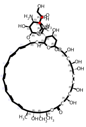 C[C@@H]1[C@H](O)[C@@H](C)/C=C/C=C/C=C/C=C/C=C/C=C/C=C/[C@H](O[C@@H]2O[C@H](C)[C@@H](O)[C@H](N)[C@@H]2O)C[C@@H]2O[C@](O)(C[C@@H](O)C[C@@H](O)[C@H](O)CC[C@@H](O)C[C@@H](O)CC(=O)O[C@H]1C)C[C@H](O)[C@H]2C(=O)NC[C@@H](O)CO